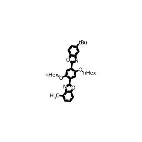 CCCCCCOc1cc(-c2nc3c(C)cccc3o2)c(OCCCCCC)cc1-c1nc2cc(C(C)(C)C)ccc2o1